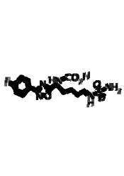 NS(=O)(=O)NCCCCC(NC(=O)O)c1nc(-c2ccc(F)cc2)no1